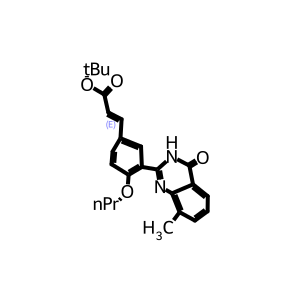 CCCOc1ccc(/C=C/C(=O)OC(C)(C)C)cc1-c1nc2c(C)cccc2c(=O)[nH]1